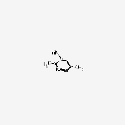 CCCN1C[C@H](C)C=NC1C